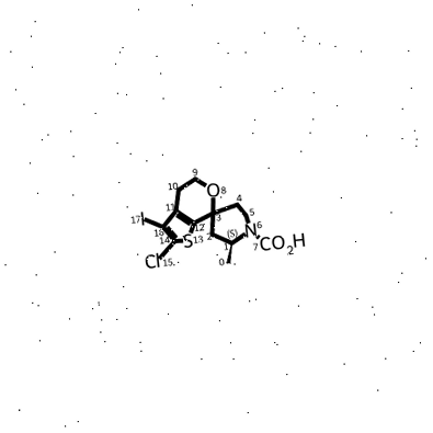 C[C@H]1CC2(CCN1C(=O)O)OCCc1c2sc(Cl)c1I